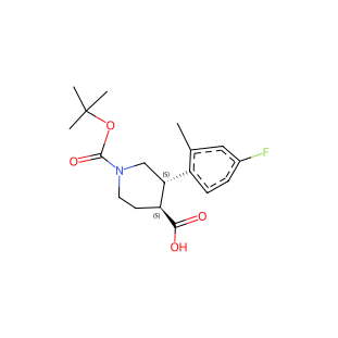 Cc1cc(F)ccc1[C@H]1CN(C(=O)OC(C)(C)C)CC[C@@H]1C(=O)O